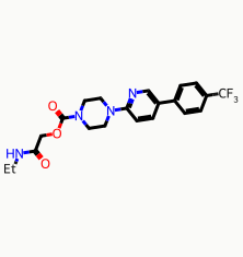 CCNC(=O)COC(=O)N1CCN(c2ccc(-c3ccc(C(F)(F)F)cc3)cn2)CC1